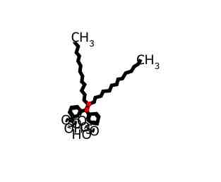 CCCCCCCCCCCCCCCCc1cccc(S(=O)(=O)O)c1Oc1c(CCCCCCCCCCCCCCCC)cccc1S(=O)(=O)O